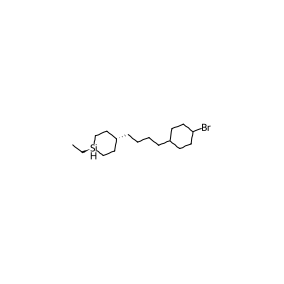 CC[Si@H]1CC[C@H](CCCCC2CCC(Br)CC2)CC1